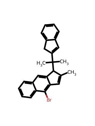 CC1=Cc2c(cc3ccccc3c2Br)C1C(C)(C)C1=Cc2ccccc2C1